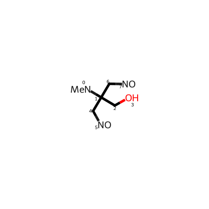 CNC(CO)(CN=O)CN=O